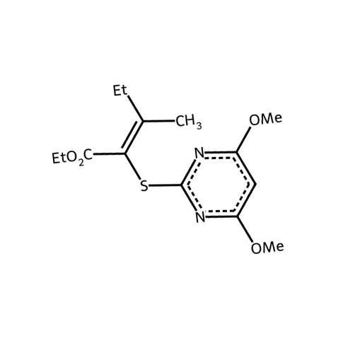 CCOC(=O)C(Sc1nc(OC)cc(OC)n1)=C(C)CC